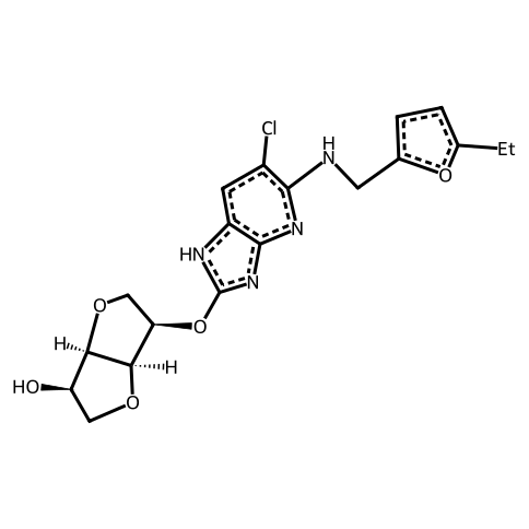 CCc1ccc(CNc2nc3nc(O[C@@H]4CO[C@H]5[C@@H]4OC[C@H]5O)[nH]c3cc2Cl)o1